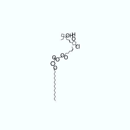 CCCCCCCCCCCCCCCCOc1cccc(C(=O)OCCOC(=O)CCC/C=C\C[C@@H]2[C@@H](/C=C/C[C@H](O)C3(CC)CCC3)[C@H](O)C[C@H]2Cl)c1